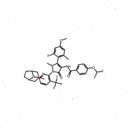 COc1cc(F)c(-c2c(NC(=O)c3ccc(OC(F)F)cc3)c(=O)n(-c3nc(N4C5CCC4CN(C)C5)ccc3C(F)(F)F)n2C)c(F)c1